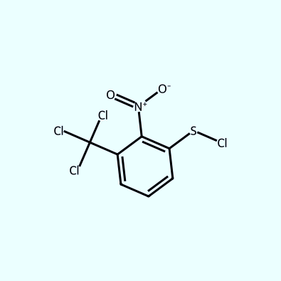 O=[N+]([O-])c1c(SCl)cccc1C(Cl)(Cl)Cl